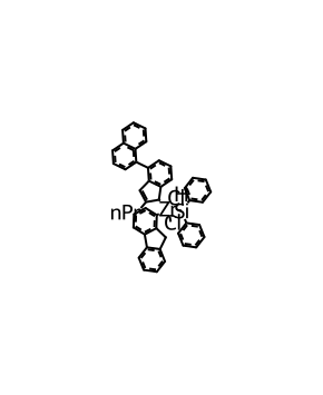 CCCC1=Cc2c(-c3cccc4ccccc34)cccc2[CH]1[Zr]([Cl])([Cl])([c]1cccc2c1Cc1ccccc1-2)[SiH](c1ccccc1)c1ccccc1